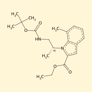 CCOC(=O)c1cc2cccc(C)c2n1[C@H](C)CNC(=O)OC(C)(C)C